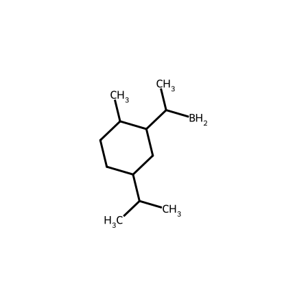 BC(C)C1CC(C(C)C)CCC1C